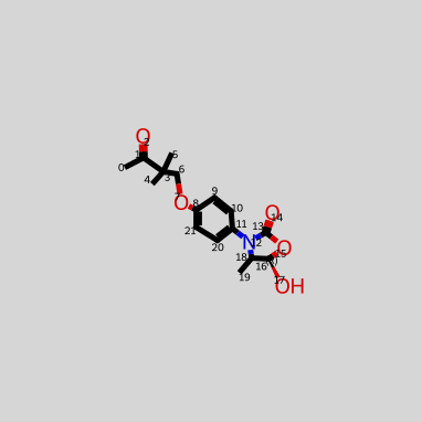 CC(=O)C(C)(C)COc1ccc(N2C(=O)O[C@@H](O)C2C)cc1